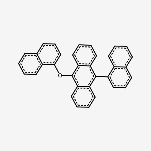 c1ccc2c(Oc3c4ccccc4c(-c4cccc5ccccc45)c4ccccc34)cccc2c1